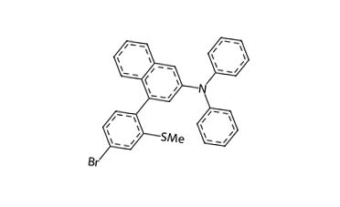 CSc1cc(Br)ccc1-c1cc(N(c2ccccc2)c2ccccc2)cc2ccccc12